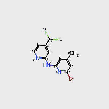 Cc1cc(Br)nc(Nc2cc(C(F)F)ccn2)c1